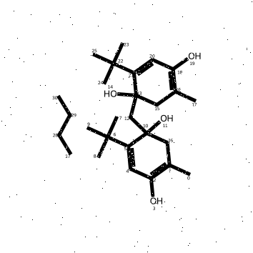 CC1=C(O)C=C(C(C)(C)C)C(O)(CC2(O)CC(C)=C(O)C=C2C(C)(C)C)C1.CCCC